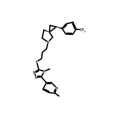 Cc1ccc(-c2nnc(SCCCN3CC[C@]4(C[C@H]4c4ccc(C(F)(F)F)cc4)C3)n2C)cn1